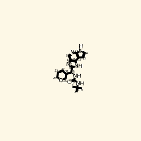 CC(C)(C)NC(=O)N[C@H](c1nc2cnc3[nH]ccc3c2[nH]1)C1CCCOC1